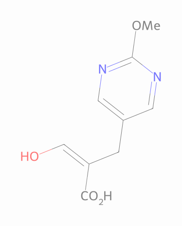 COc1ncc(CC(=CO)C(=O)O)cn1